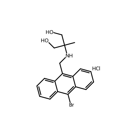 CC(CO)(CO)NCc1c2ccccc2c(Br)c2ccccc12.Cl